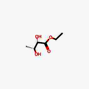 CCOC(=O)[C@@H](O)[C@@H](C)O